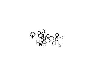 C[C@@H]1C2C[C@H](O)[C@@]3(C)Oc4cc(-c5cccnc5)oc(=O)c4CC3[C@@]2(C)CC[C@@H]1OC(=O)C1CC1